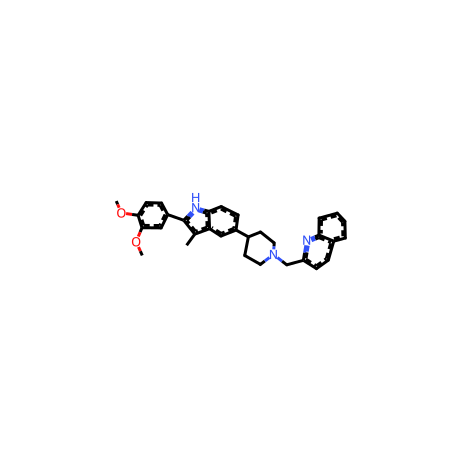 COc1ccc(-c2[nH]c3ccc(C4CCN(Cc5ccc6ccccc6n5)CC4)cc3c2C)cc1OC